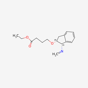 C=N[C@H]1c2ccccc2C[C@H]1OCCCC(=O)OCC